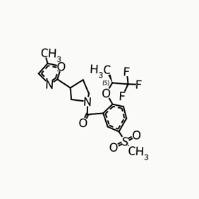 Cc1cnc(C2CCN(C(=O)c3cc(S(C)(=O)=O)ccc3O[C@@H](C)C(F)(F)F)C2)o1